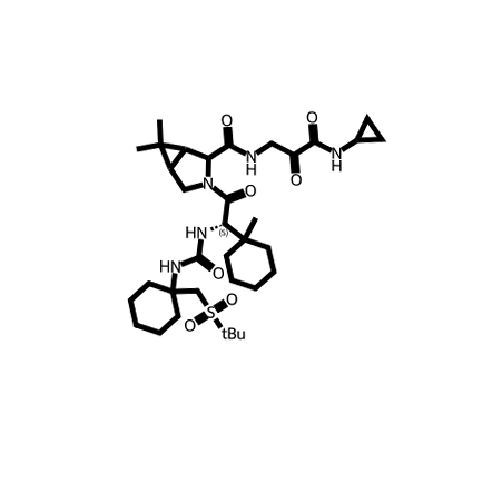 CC1(C)C2CN(C(=O)[C@@H](NC(=O)NC3(CS(=O)(=O)C(C)(C)C)CCCCC3)C3(C)CCCCC3)C(C(=O)NCC(=O)C(=O)NC3CC3)C21